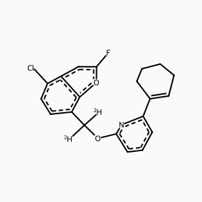 [2H]C([2H])(Oc1cccc(C2=CCCCC2)n1)c1ccc(Cl)c2cc(F)oc12